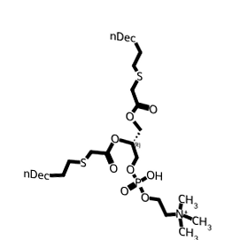 CCCCCCCCCCCCSCC(=O)OC[C@H](COP(=O)(O)OCC[N+](C)(C)C)OC(=O)CSCCCCCCCCCCCC